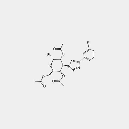 CC(=O)OC[C@H]1O[C@H](Br)[C@H](OC(C)=O)[C@@H](n2cc(-c3cccc(F)c3)nn2)[C@H]1OC(C)=O